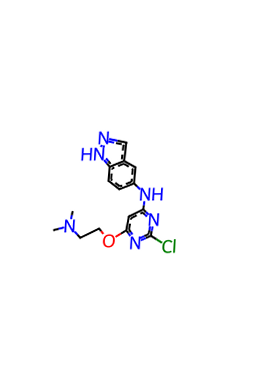 CN(C)CCOc1cc(Nc2ccc3[nH]ncc3c2)nc(Cl)n1